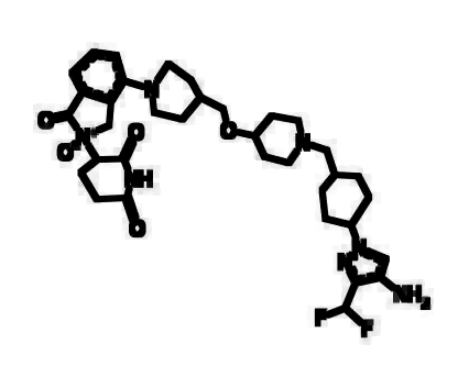 Nc1cn(C2CCC(CN3CCC(OCC4CCN(c5cccc6c5C[N+]([O-])(C5CCC(=O)NC5=O)C6=O)CC4)CC3)CC2)nc1C(F)F